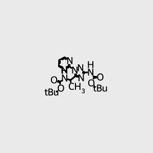 CC(NC(=O)OC(C)(C)C)c1nc(NC(=O)OC(C)(C)C)nn1-c1ncccn1